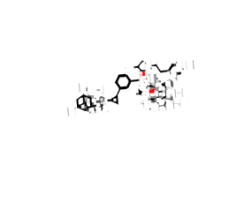 CC(C)(C)OC(=O)NC(C(=O)N1CC(Oc2ccc(C3CC3B3O[C@@H]4C[C@@H]5C[C@@H](C5(C)C)[C@]4(C)O3)c(OC(=O)OC(C)(C)C)c2C(=O)OC(C)(C)C)C1)c1c[nH]cn1